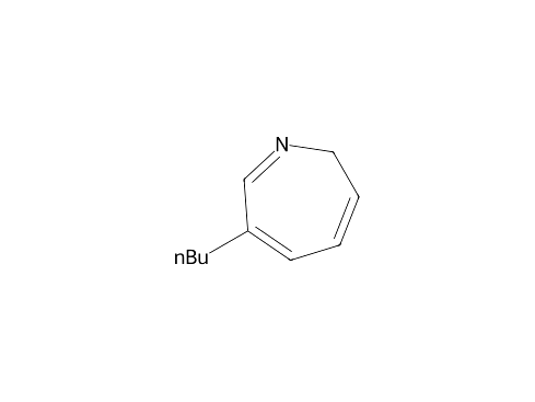 CCCCC1=CC=CCN=C1